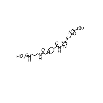 CC(C)(C)c1cnc(CSc2cnc(NC(=O)C3CCN(CC(=O)NCCCNC(=O)O)CC3)s2)o1